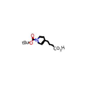 CC(C)(C)OC(=O)N1C=CC(CCCC(=O)O)=CC1